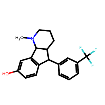 CN1CCCC2C(c3cccc(C(F)(F)F)c3)c3ccc(O)cc3C21